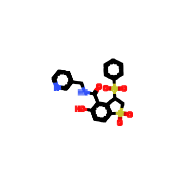 O=C(NCc1cccnc1)c1c(O)ccc2c1C(S(=O)(=O)c1ccccc1)CS2(=O)=O